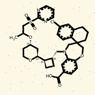 CC(CS(=O)(=O)c1ncccn1)O[C@H]1CCO[C@H]([C@@H]2CC[C@H]2CN2CC3(CCCc4cc(Cl)ccc43)COc3ccc(C(=O)O)cc32)C1